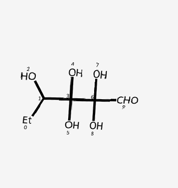 CCC(O)C(O)(O)C(O)(O)C=O